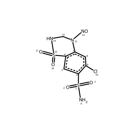 NS(=O)(=O)c1cc2c(cc1Cl)N(N=O)CNS2(=O)=O